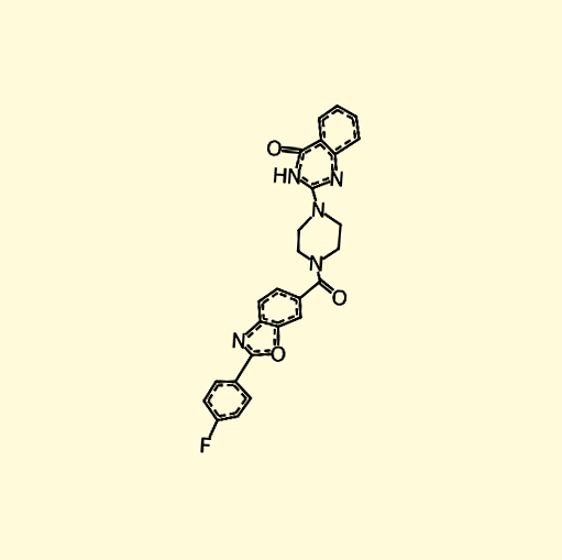 O=C(c1ccc2nc(-c3ccc(F)cc3)oc2c1)N1CCN(c2nc3ccccc3c(=O)[nH]2)CC1